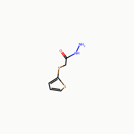 NNC(=O)CSc1cccs1